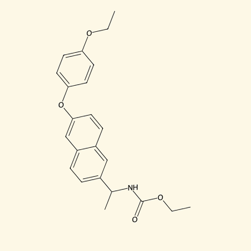 CCOC(=O)NC(C)c1ccc2cc(Oc3ccc(OCC)cc3)ccc2c1